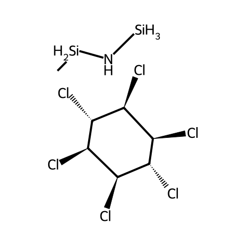 C[SiH2]N[SiH3].Cl[C@H]1[C@H](Cl)[C@@H](Cl)[C@@H](Cl)[C@H](Cl)[C@H]1Cl